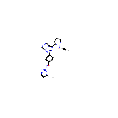 CC#CC(=O)N1CCCCC1C1=C2C=NC=C[N+]2(N)C(c2ccc(C(=O)Nc3nccc(C)n3)cc2)=N1